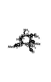 COc1ccc(CC(NC(=O)[C@@H]2CSSC[C@@H](NC(=O)[C@@H](N)Cc3ccc(Cl)cc3)C(=O)N[C@@H](Cc3ccc(OC)cc3)C(=O)N[C@H](Cc3ccc(C(N)=O)cc3)C(=O)N[C@@H](CCCCN)C(=O)N[C@@H]([C@@H](C)O)C(=O)N2)C(N)=O)cc1